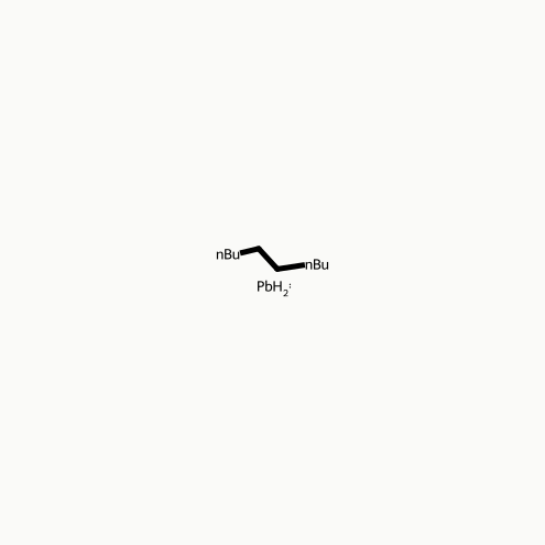 [CH2]CCCCCCCCC.[PbH2]